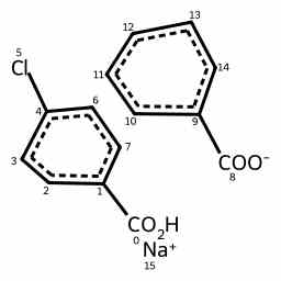 O=C(O)c1ccc(Cl)cc1.O=C([O-])c1ccccc1.[Na+]